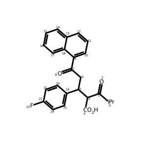 CC(C)C(=O)C(C(=O)O)C(CC(=O)c1cccc2ccccc12)c1ccc(F)cc1